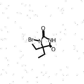 CCC1(CC)C(=O)NC(=O)N1Br